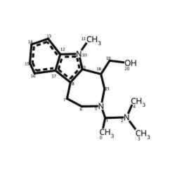 CC(N(C)C)N1CCc2c(n(C)c3ccccc23)C(CO)C1